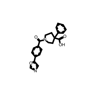 O=C(c1ccc(-c2cnco2)cc1)N1CCC(C(=O)O)(c2ccccc2)CC1